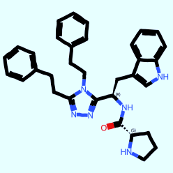 O=C(N[C@H](Cc1c[nH]c2ccccc12)c1nnc(CCc2ccccc2)n1CCc1ccccc1)[C@@H]1CCCN1